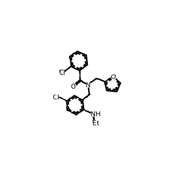 CCNc1ccc(Cl)cc1CN(Cc1ccco1)C(=O)c1ccccc1Cl